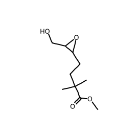 COC(=O)C(C)(C)CCC1OC1CO